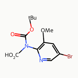 COc1cc(Br)cnc1N(C(=O)O)C(=O)OC(C)(C)C